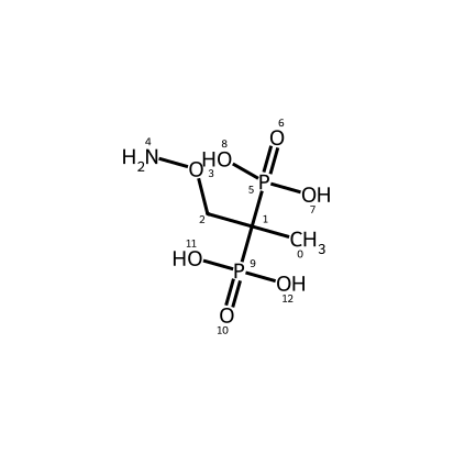 CC(CON)(P(=O)(O)O)P(=O)(O)O